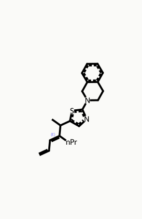 C=C/C=C(\CCC)C(C)c1cnc(N2CCc3ccccc3C2)s1